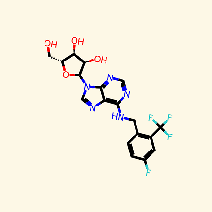 OC[C@H]1OC(n2cnc3c(NCc4ccc(F)cc4C(F)(F)F)ncnc32)[C@H](O)[C@@H]1O